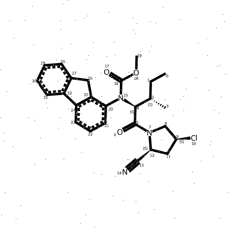 CC[C@H](C)[C@@H](C(=O)N1C[C@@H](Cl)C[C@H]1C#N)N(C(=O)OC)c1cccc2c1Cc1ccccc1-2